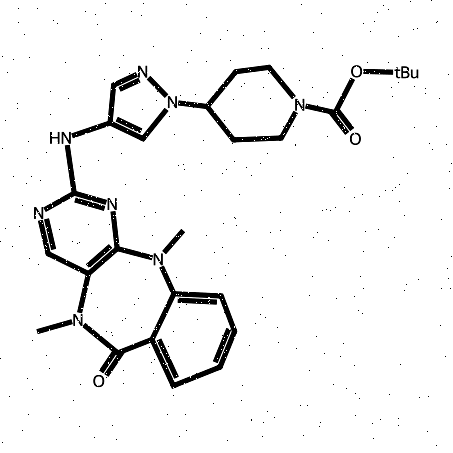 CN1C(=O)c2ccccc2N(C)c2nc(Nc3cnn(C4CCN(C(=O)OC(C)(C)C)CC4)c3)ncc21